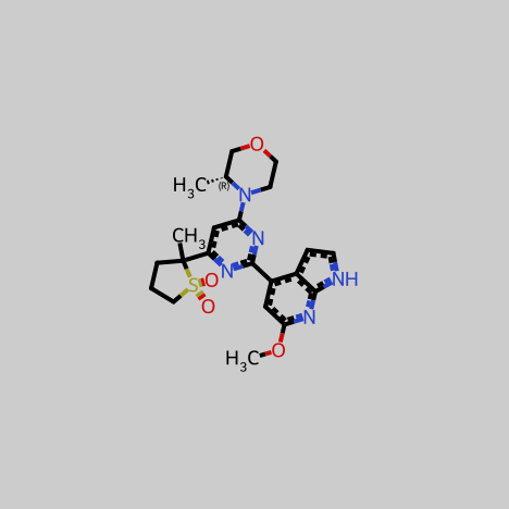 COc1cc(-c2nc(N3CCOC[C@H]3C)cc(C3(C)CCCS3(=O)=O)n2)c2cc[nH]c2n1